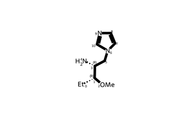 CC[C@@H](OC)[C@H](N)Cn1ccnc1